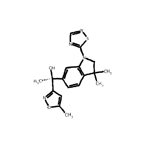 Cc1cc([C@@](C)(O)c2ccc3c(c2)N(c2ncns2)CC3(C)C)no1